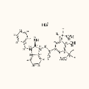 Br.CC(=O)OC(C)(C)c1cc(C(=O)Cn2c(=N)n(Cc3ccccc3)c3ccccc32)cc(C(C)(C)OC(C)=O)c1O